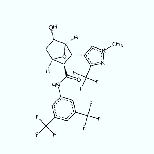 Cn1cc([C@H]2[C@H]3O[C@H](C[C@@H]3O)[C@@H]2C(=O)Nc2cc(C(F)(F)F)cc(C(F)(F)F)c2)c(C(F)(F)F)n1